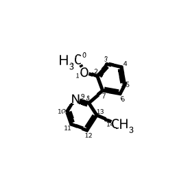 COc1ccccc1-c1ncccc1C